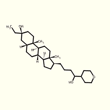 CC[C@]1(O)CC[C@@]2(C)[C@H](CC[C@@H]3[C@@H]2CC[C@]2(C)[C@@H](CCCC(O)C4CCOCC4)CC[C@@H]32)C1